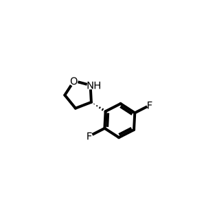 Fc1ccc(F)c([C@@H]2CCON2)c1